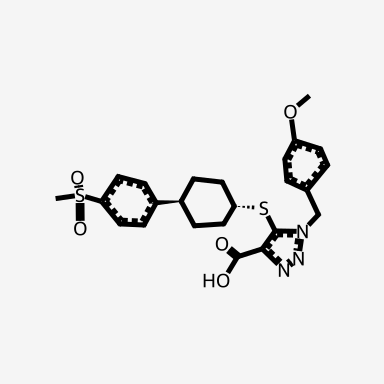 COc1ccc(Cn2nnc(C(=O)O)c2S[C@H]2CC[C@H](c3ccc(S(C)(=O)=O)cc3)CC2)cc1